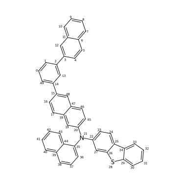 c1cc(-c2ccc3ccccc3c2)cc(-c2ccc3cc(N(c4ccc5c(c4)sc4ccccc45)c4cccc5ccccc45)ccc3c2)c1